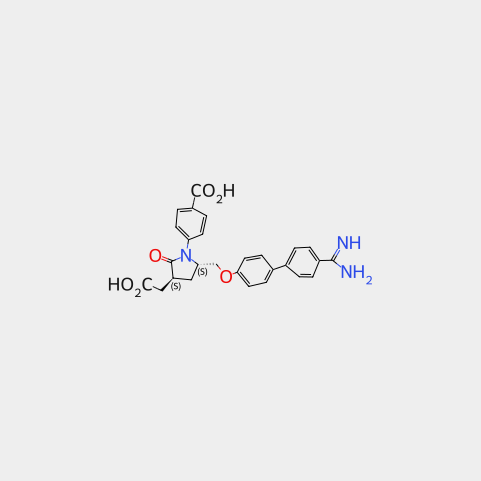 N=C(N)c1ccc(-c2ccc(OC[C@@H]3C[C@@H](CC(=O)O)C(=O)N3c3ccc(C(=O)O)cc3)cc2)cc1